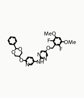 COc1cc(OC)c(F)c(COc2cnc(Nc3ccc(OC4COC(c5ccccc5)OC4)nc3)nc2)c1F